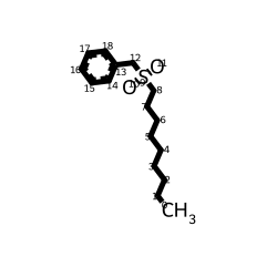 CCCCCCCCCS(=O)(=O)Cc1ccccc1